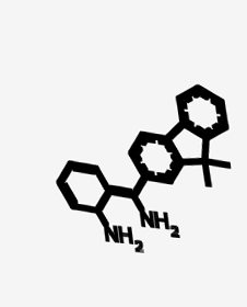 CC1(C)c2ccccc2-c2ccc(/C(N)=C3\C=CC=CC3N)cc21